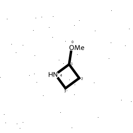 COC1CCN1